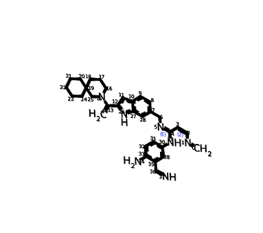 C=N/C=C\C(=N/Cc1ccc2cc(C(=C)N3CCCC4(CCCCC4)C3)[nH]c2c1)Nc1ccc(N)c(C=N)c1